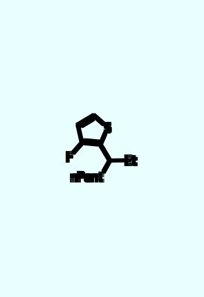 CCCCCC(CC)c1sccc1F